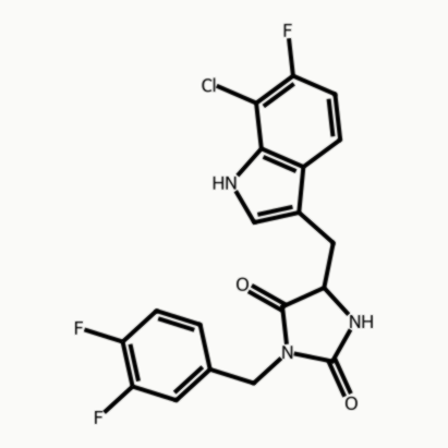 O=C1NC(Cc2c[nH]c3c(Cl)c(F)ccc23)C(=O)N1Cc1ccc(F)c(F)c1